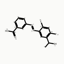 CC(S)c1cc(/N=N/c2cccc(C(=O)O)c2)c(F)cc1F